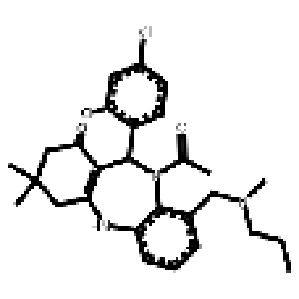 CCCN(C)Cc1cccc2c1N(C(C)=O)C(c1ccc(Cl)cc1Cl)C1=C(CC(C)(C)CC1=O)N2